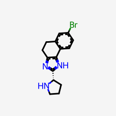 Brc1ccc2c(c1)CCc1nc([C@@H]3CCCN3)[nH]c1-2